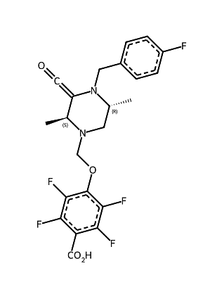 C[C@@H]1CN(COc2c(F)c(F)c(C(=O)O)c(F)c2F)[C@@H](C)C(=C=O)N1Cc1ccc(F)cc1